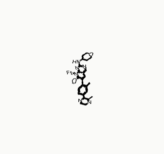 CCn1c(=O)c(-c2ccc(-c3nccnc3C)cc2C)cc2cnc(NC3CCOCC3)nc21